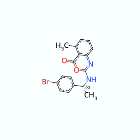 Cc1cccc2nc(N[C@H](C)c3ccc(Br)cc3)oc(=O)c12